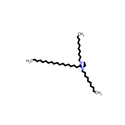 CCCCCCCCCCCCCCCCCc1n(CCCCCCCCCC)cc[n+]1CCCCCCCCCC